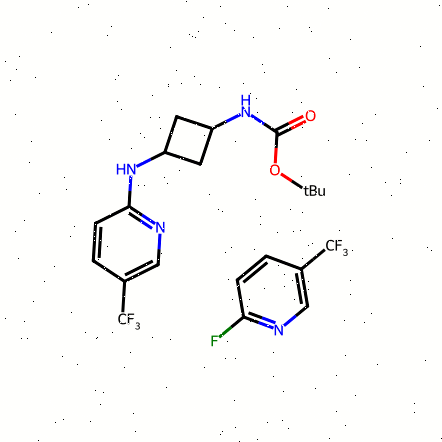 CC(C)(C)OC(=O)NC1CC(Nc2ccc(C(F)(F)F)cn2)C1.Fc1ccc(C(F)(F)F)cn1